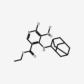 CCOC(=O)c1cnc(Cl)c([N+](=O)[O-])c1NC1C2CC3CC(C2)CC1C3